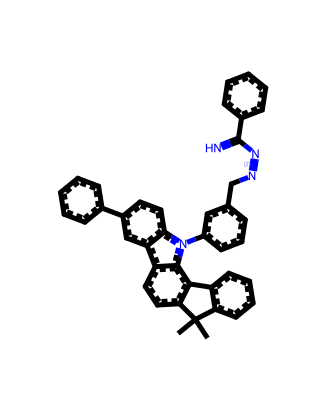 CC1(C)c2ccccc2-c2c1ccc1c3cc(-c4ccccc4)ccc3n(-c3cccc(C/N=N\C(=N)c4ccccc4)c3)c21